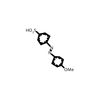 COc1ccc(/N=N/c2ccc(S(=O)(=O)O)cc2)cc1